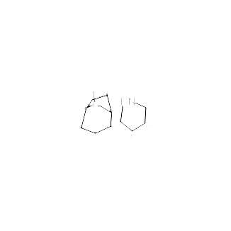 C1CC2CCC(C1)N2.C1CCNCC1